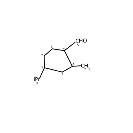 CC(C)C1CCC(C=O)C(C)C1